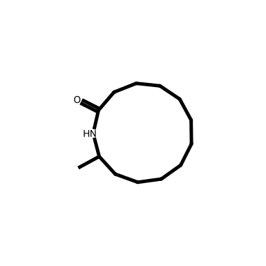 CC1CCCCCCCCCCC(=O)N1